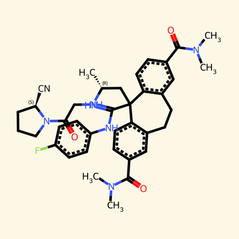 C[C@H](CC1(C(=N)Nc2ccc(F)cc2)c2ccc(C(=O)N(C)C)cc2CCc2cc(C(=O)N(C)C)ccc21)NCC(=O)N1CCC[C@H]1C#N